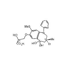 CCCC[C@]1(CC)CN(c2ccccc2)c2cc(SC)c(OC[C@H](O)C(=O)O)cc2S(O)(O)C1